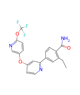 CCc1cc(-c2cc(Oc3ccc(OC(F)(F)F)nc3)ccn2)ccc1C(N)=O